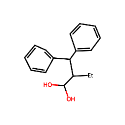 CCC(C(O)O)C(c1ccccc1)c1ccccc1